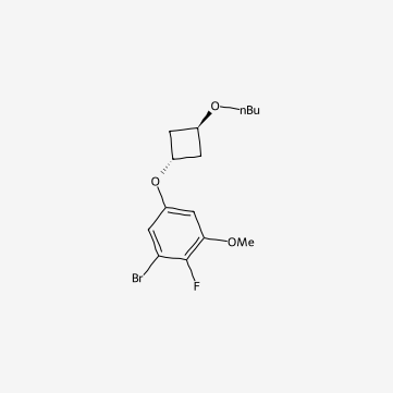 CCCCO[C@H]1C[C@H](Oc2cc(Br)c(F)c(OC)c2)C1